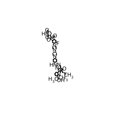 C=CCn1c(=O)c2cnc(Nc3ccc(N4CCC(N5CCN(c6cc7c(cc6F)C(=O)N(C6CCC(=O)NC6=O)C7=O)CC5)CC4)cc3)nc2n1-c1cccc(C(C)(C)O)n1